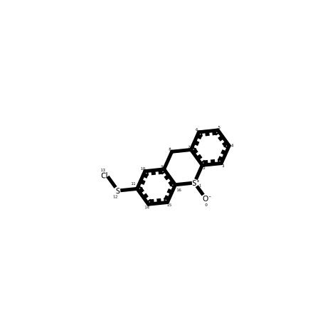 [O-][S+]1c2ccccc2Cc2cc(SCl)ccc21